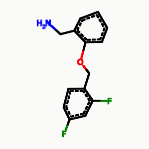 NCc1ccccc1OCc1ccc(F)cc1F